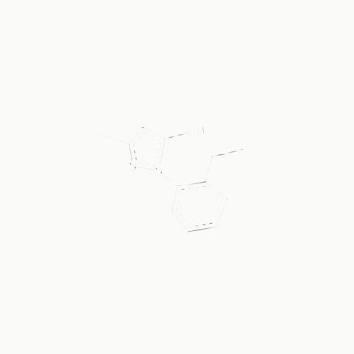 CCc1ccccc1-n1nc(C)cc1O